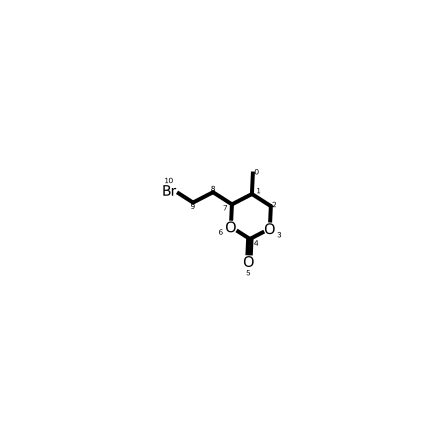 CC1COC(=O)OC1CCBr